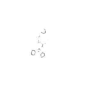 CC(OP(=O)(Oc1ccccc1)Oc1ccccc1)=C(C(=O)OCC(Cl)(Cl)Cl)N1C(=O)C2N=C(Cc3ccccc3)SC21